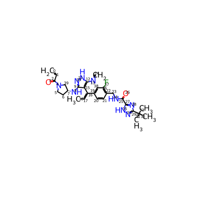 C=CC(=O)N1CC[C@@H](Nc2n[nH]c(N=C)c2/C(=C\C)c2ccc(CNC(=O)c3nc(C(C)(C)C)n[nH]3)c(F)c2)C1